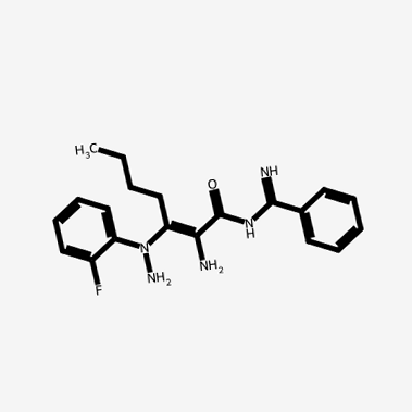 CCCC/C(=C(/N)C(=O)NC(=N)c1ccccc1)N(N)c1ccccc1F